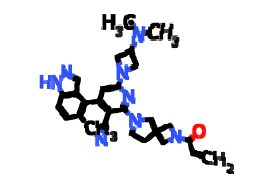 C=CC(=O)N1CC2(CCN(c3nc(N4CC(N(C)C)C4)cc(-c4c(C)ccc5[nH]ncc45)c3C#N)C2)C1